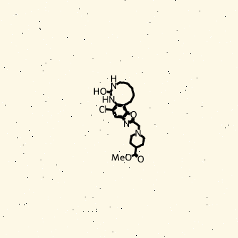 COC(=O)C1CCN(Cc2nc3cc(Cl)c4c(c3o2)CCCCCNC(O)N4)CC1